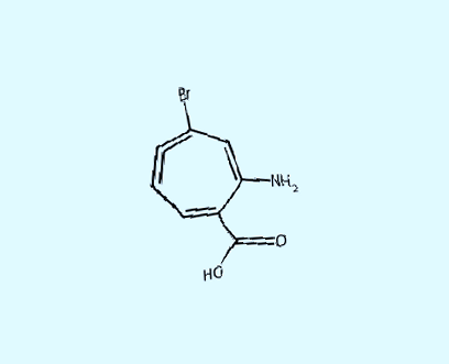 NC1=CC(Br)=C=CC=C1C(=O)O